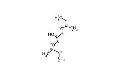 CCC(C)OCC(O)COC(C)CC